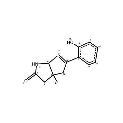 CC12CC(=O)NC1N=C(c1ccccc1O)C2